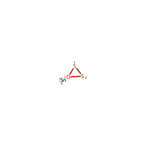 [Sn].o1ss1